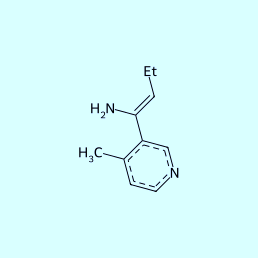 CC/C=C(\N)c1cnccc1C